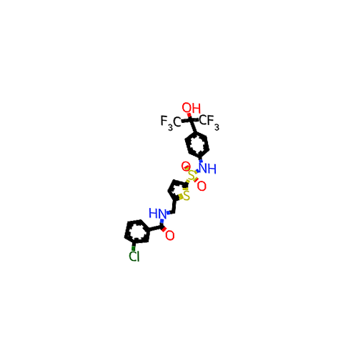 O=C(NCc1ccc(S(=O)(=O)Nc2ccc(C(O)(C(F)(F)F)C(F)(F)F)cc2)s1)c1cccc(Cl)c1